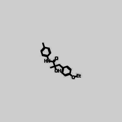 CCOc1ccc(CC(C)(O)C(=O)Nc2ccc(C)cc2)cc1